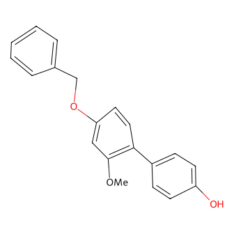 COc1cc(OCc2ccccc2)ccc1-c1ccc(O)cc1